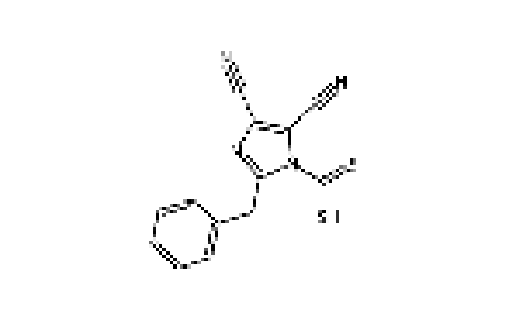 N#Cc1nc(Cc2ccccc2)n(C(=S)S)c1C#N